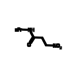 CCCNC(=O)CC[N+](=O)[O-]